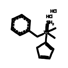 Cl.Cl.[CH3][Zr]([CH3])(=[SiH2])([CH2]c1ccccc1)[C]1=CC=CC1